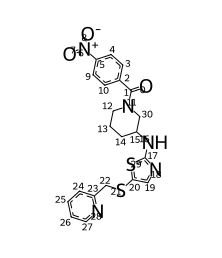 O=C(c1ccc([N+](=O)[O-])cc1)N1CCCC(Nc2ncc(SCc3ccccn3)s2)C1